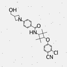 CC1(C)C(NC(=O)c2ccc(N3CC(CO)C3)cc2)C(C)(C)C1Oc1ccc(C#N)c(Cl)c1